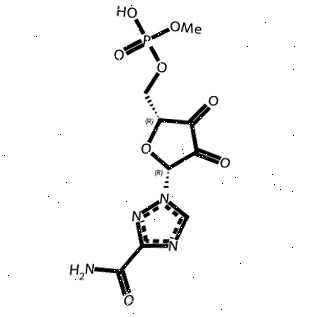 COP(=O)(O)OC[C@H]1O[C@@H](n2cnc(C(N)=O)n2)C(=O)C1=O